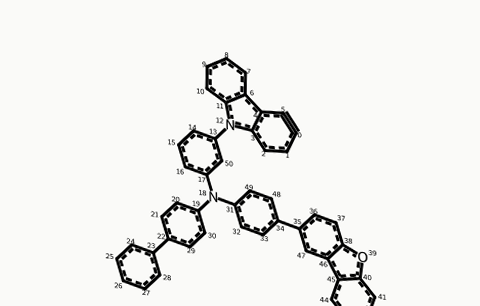 c1ccc2c(c#1)c1ccccc1n2-c1cccc(N(c2ccc(-c3ccccc3)cc2)c2ccc(-c3ccc4oc5ccccc5c4c3)cc2)c1